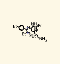 CCS/C=C(CC)/C(=N\C(CC(=O)NCCN)C(=N)NC(C)C)c1ccc(CC)cc1